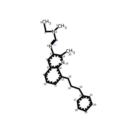 CCN(C)/C=N/c1cc2cccc(CCCc3ccccc3)c2nc1C